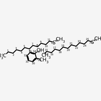 CCCCCCCCCCCCSC.CCCCCCCCCCCCSC.Cc1ccccc1O